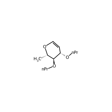 CCCO[C@H]1[C@H](C)OC=C[C@@H]1OCCC